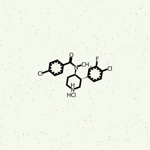 CN(C(=O)c1ccc(Cl)cc1)[C@@H]1CCNC[C@H]1c1ccc(Cl)c(F)c1.Cl